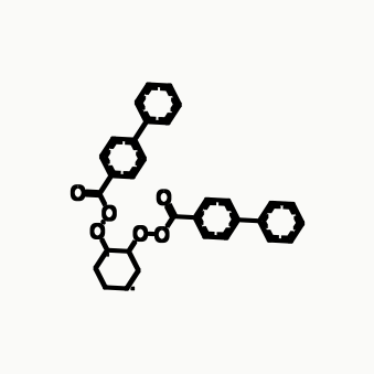 O=C(OO[C]1CC[CH]CC1OOC(=O)c1ccc(-c2ccccc2)cc1)c1ccc(-c2ccccc2)cc1